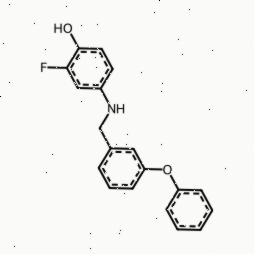 Oc1ccc(NCc2cccc(Oc3ccccc3)c2)cc1F